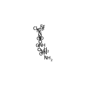 NCCC(N)C(=O)Nc1cccc(C(=O)Nc2ccc(S(=O)(=O)N3CCN(c4cc(C(F)(F)F)cc(Cl)n4)CC3)cc2)c1